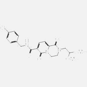 COC(CN1CCn2c(ccc(C(=O)NCc3ccc(Cl)cc3)c2=O)C1=O)OC